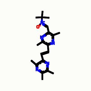 Cc1nc(C)c(/C=C/c2nc(C)c(/C=[N+](\[O-])C(C)(C)C)nc2C)nc1C